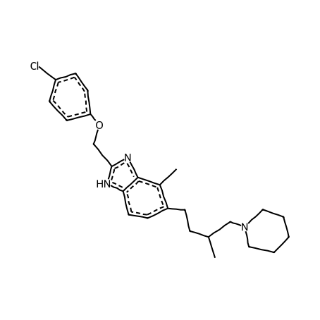 Cc1c(CCC(C)CN2CCCCC2)ccc2[nH]c(COc3ccc(Cl)cc3)nc12